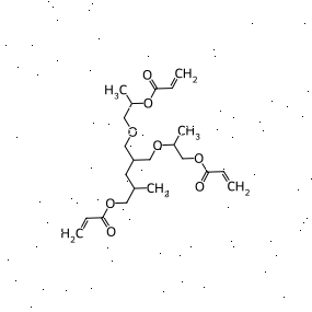 C=CC(=O)OCC(C)CC(COCC(C)OC(=O)C=C)COC(C)COC(=O)C=C